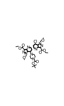 CCOC(=O)c1nn(COC)c2c(Cl)ccnc12.CCOC(=O)c1nn(COC)c2c(N3CCN(C(=O)OC(C)(C)C)CC3)ccnc12